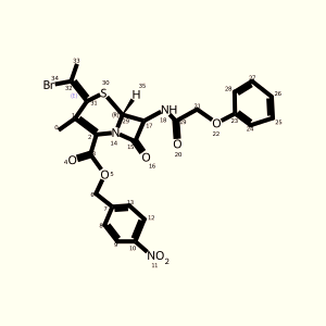 CC1=C(C(=O)OCc2ccc([N+](=O)[O-])cc2)N2C(=O)C(NC(=O)COc3ccccc3)[C@H]2S/C1=C(\C)Br